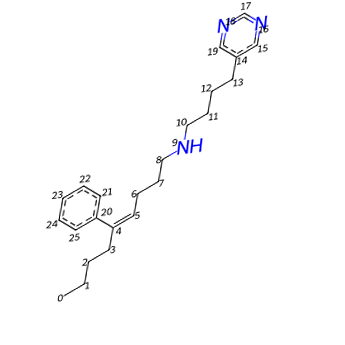 CCCCC(=CCCCNCCCCc1cncnc1)c1ccccc1